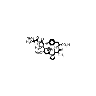 CC[C@H](C)[C@@H]([C@@H](CC(=O)N1CCC[C@H]1[C@H](OC)[C@@H](C)C(=S)N[C@@H](Cc1ccccc1)C(=O)O)OC)N(C)[C@H](C(=O)NC(=O)C(C)(C)NC)C(C)C